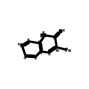 O=c1[nH]c2cnccc2cc1F